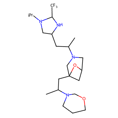 CC(CC12CC(CN(C(C)CC3CN(C(C)C)C(C(F)(F)F)N3)C1)O2)N1CCCOC1